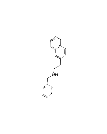 [CH](CNCc1ccccc1)c1ccc2ccccc2c1